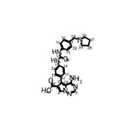 Nc1ncnn2cc(C(=O)O)c(-c3ccc(NC(=O)Nc4ccc(CN5CCCC5)cc4)cc3)c12